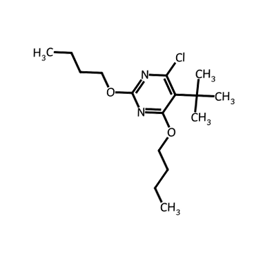 CCCCOc1nc(Cl)c(C(C)(C)C)c(OCCCC)n1